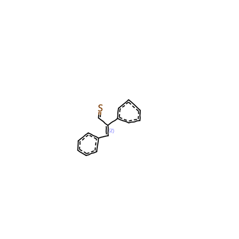 S=C/C(=C\c1ccccc1)c1ccccc1